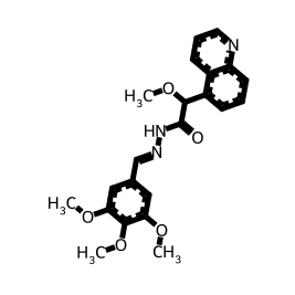 COc1cc(C=NNC(=O)C(OC)c2cccc3ncccc23)cc(OC)c1OC